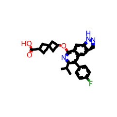 CC(C)c1nc(OC2CC3(C2)CC(C(=O)O)C3)c2cc3[nH]ncc3cc2c1-c1ccc(F)cc1